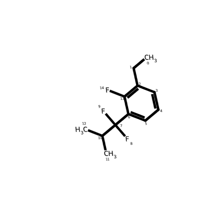 CCc1cccc(C(F)(F)C(C)C)c1F